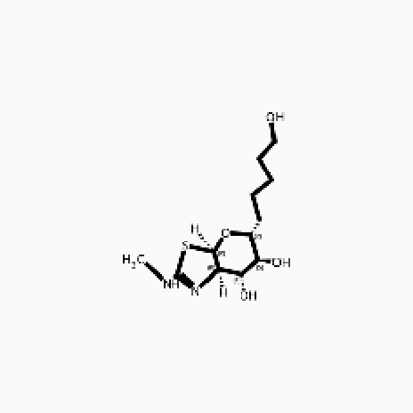 CNC1=N[C@@H]2[C@@H](O)[C@H](O)[C@@H](CCCCCO)O[C@@H]2S1